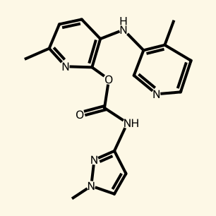 Cc1ccc(Nc2cnccc2C)c(OC(=O)Nc2ccn(C)n2)n1